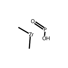 O=PO.[CH3][Zr][CH3]